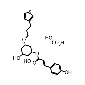 O=C(/C=C/c1ccc(O)cc1)O[C@@H]1C[C@@H](OCCCc2ccsc2)C[C@H](O)[C@H]1O.O=C(O)O